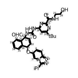 CC(C)c1nnc2ccc(O[C@@H]3C=C[C@](C=O)(NC(=O)Nc4cc(C(C)(C)C)nc(C(=O)NCCO)n4)c4ccccc43)cn12